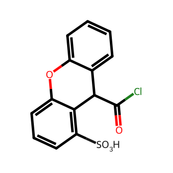 O=C(Cl)C1c2ccccc2Oc2cccc(S(=O)(=O)O)c21